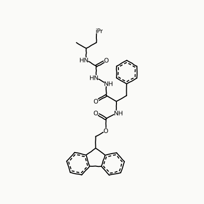 CC(C)CC(C)NC(=O)NNC(=O)C(Cc1ccccc1)NC(=O)OCC1c2ccccc2-c2ccccc21